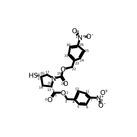 O=C(OCc1ccc([N+](=O)[O-])cc1)[C@@H]1C[C@H](S)CN1C(=O)OCc1ccc([N+](=O)[O-])cc1